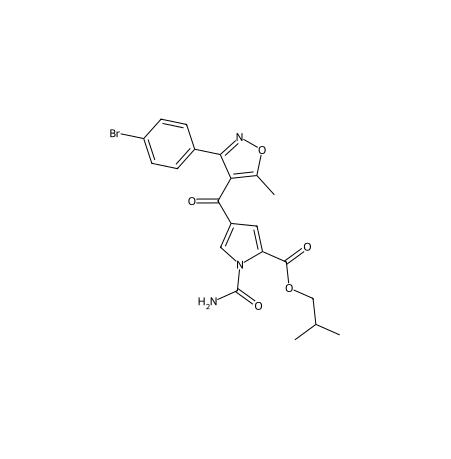 Cc1onc(-c2ccc(Br)cc2)c1C(=O)c1cc(C(=O)OCC(C)C)n(C(N)=O)c1